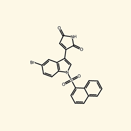 O=C1C=C(c2cn(S(=O)(=O)c3cccc4ccccc34)c3ccc(Br)cc23)C(=O)N1